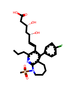 CCCc1nc2c(c(-c3ccc(F)cc3)c1/C=C/[C@@H](O)C[C@@H](O)CC(=O)O)CCCCN2S(C)(=O)=O